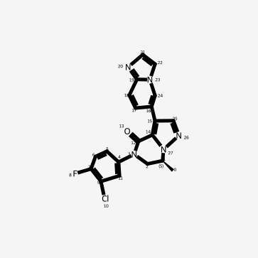 C[C@H]1CN(c2ccc(F)c(Cl)c2)C(=O)c2c(-c3ccc4nccn4c3)cnn21